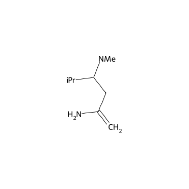 C=C(N)CC(NC)C(C)C